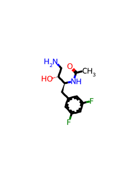 CC(=O)N[C@@H](Cc1cc(F)cc(F)c1)[C@H](O)CN